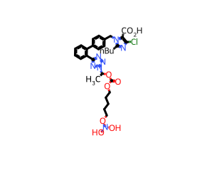 CCCCc1nc(Cl)c(C(=O)O)n1Cc1ccc(-c2ccccc2-c2nnn(C(C)OC(=O)OCCCCCON(O)O)n2)cc1